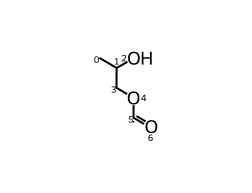 CC(O)CO[C]=O